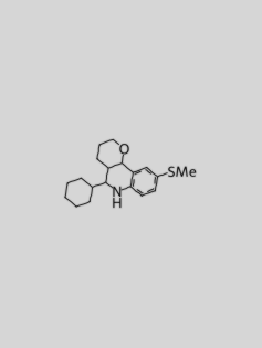 CSc1ccc2c(c1)C1OCCCC1C(C1CCCCC1)N2